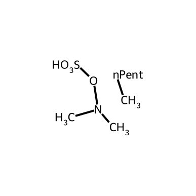 CCCCCC.CN(C)OS(=O)(=O)O